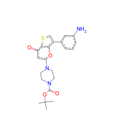 CC(C)(C)OC(=O)N1CCN(c2cc(=O)c3scc(-c4cccc(N)c4)c3o2)CC1